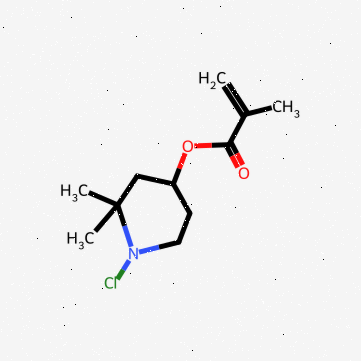 C=C(C)C(=O)OC1CCN(Cl)C(C)(C)C1